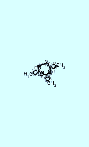 Cc1cc[n+](-c2c3nc(c(-[n+]4ccc(C)cc4)c4ccc([nH]4)c(-[n+]4ccc(C)cc4)c4nc(cc5ccc2[nH]5)C=C4)C=C3)cc1